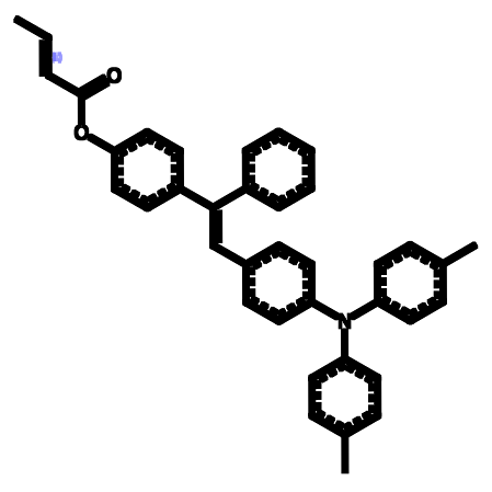 C/C=C/C(=O)Oc1ccc(C(=Cc2ccc(N(c3ccc(C)cc3)c3ccc(C)cc3)cc2)c2ccccc2)cc1